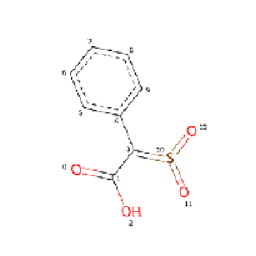 O=C(O)C(c1ccccc1)=S(=O)=O